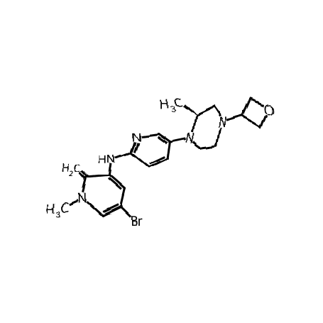 C=C1C(Nc2ccc(N3CCN(C4COC4)C[C@@H]3C)cn2)=CC(Br)=CN1C